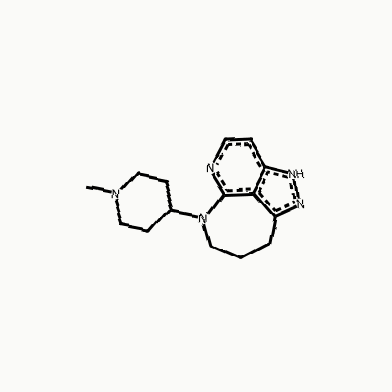 CN1CCC(N2CCCc3n[nH]c4ccnc2c34)CC1